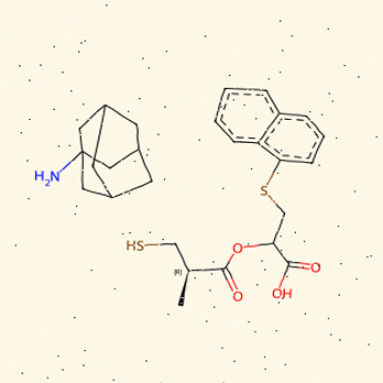 C[C@@H](CS)C(=O)OC(CSc1cccc2ccccc12)C(=O)O.NC12CC3CC(CC(C3)C1)C2